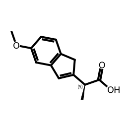 COc1ccc2c(c1)C=C([C@H](C)C(=O)O)C2